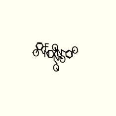 COCCN1C(=O)N(Cc2cccc(OC)c2)C(=O)C12CCN(Cc1c(F)cccc1OC)CC2